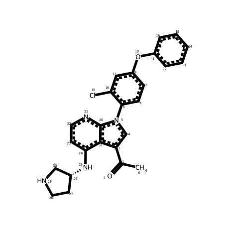 CC(=O)c1cn(-c2ccc(Oc3ccccc3)cc2Cl)c2nccc(N[C@@H]3CCNC3)c12